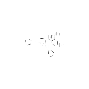 CC(C)n1nc(-c2ccc(OCc3ccccc3)nc2OCc2ccccc2)c2ccc(Br)cc21